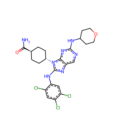 NC(=O)[C@H]1CC[C@H](n2c(Nc3cc(Cl)c(Cl)cc3Cl)nc3cnc(NC4CCOCC4)nc32)CC1